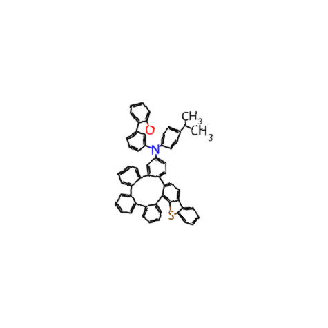 CC(C)c1ccc(N(c2ccc3c(c2)c2ccccc2c2ccccc2c2ccccc2c2c3ccc3c4ccccc4sc32)c2cccc3c2oc2ccccc23)cc1